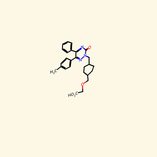 Cc1ccc(-c2nn(CC3CCC(COCC(=O)O)CC3)c(=O)nc2-c2ccccc2)cc1